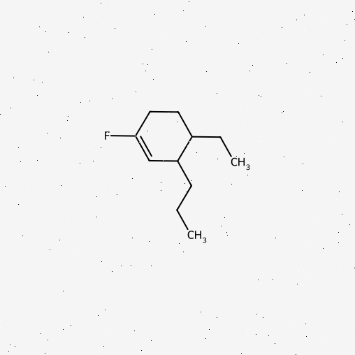 CCCC1C=C(F)CCC1CC